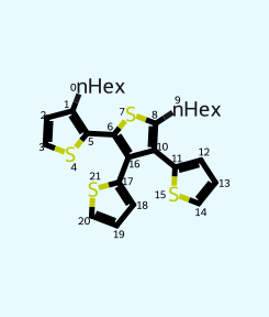 CCCCCCc1ccsc1-c1sc(CCCCCC)c(-c2cccs2)c1-c1cccs1